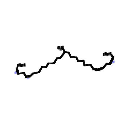 CCCCC/C=C\CC=C=CCCCCCCCC(CCCCCCCC/C=C\C/C=C\CCCCC)[N+](=O)[O-]